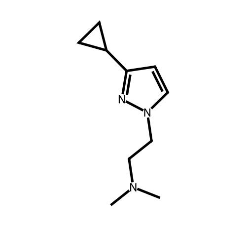 CN(C)CCn1ccc(C2CC2)n1